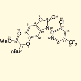 CCCCC(Oc1ccc2oc(=O)n(-c3ncc(C(F)(F)F)cc3Cl)c2c1)C(=O)OC